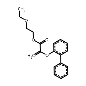 C=C(Oc1ccccc1-c1ccccc1)C(=O)OCCOCC